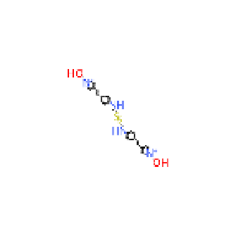 OCC[n+]1ccc(/C=C/c2ccc(NCCSSCCNc3ccc(/C=C/c4cc[n+](CCO)cc4)cc3)cc2)cc1